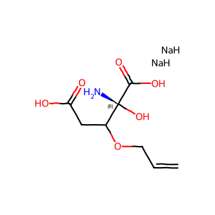 C=CCOC(CC(=O)O)[C@@](N)(O)C(=O)O.[NaH].[NaH]